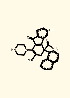 CCCCC1=C(N2CCNCC2)C2=C(c3ccccc3C2=O)C(C(N)=O)(c2cccc3ccccc23)C1.Cl